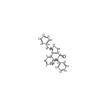 O=c1c2c(c3cccnc3n1-c1ccccc1)N(Cc1ccccc1)CC2